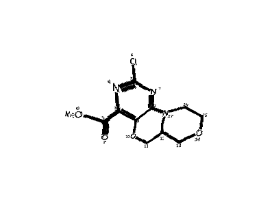 COC(=O)c1nc(Cl)nc2c1OCC1COCCN21